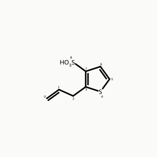 C=CCc1sccc1S(=O)(=O)O